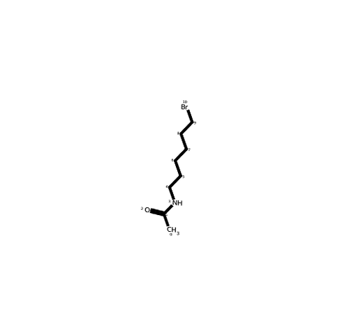 CC(=O)NCCCCCCBr